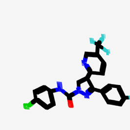 O=C(Nc1ccc(Cl)cc1)N1CC(c2ccc(C(F)(F)F)cn2)C(c2ccc(F)cc2)=N1